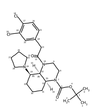 CC(C)(C)OC(=O)N1CCN(C(=O)Cc2ccc(Cl)c(Cl)c2)[C@@H]2[C@H](N3CCCC3)CCC[C@@H]21